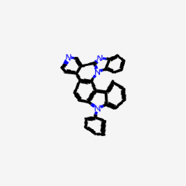 c1ccc(-n2c3ccccc3c3c2ccc2c4ccncc4c4nc5ccccc5n4c23)cc1